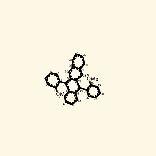 COc1ccccc1-c1c2ccccc2c(-c2ccccc2OC)c2cc3ccccc3cc12